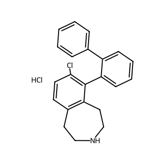 Cl.Clc1ccc2c(c1-c1ccccc1-c1ccccc1)CCNCC2